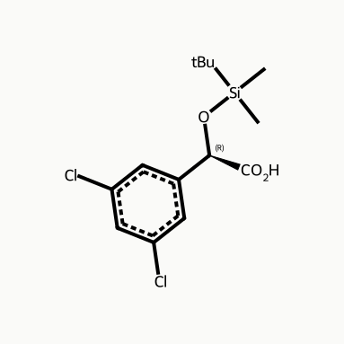 CC(C)(C)[Si](C)(C)O[C@@H](C(=O)O)c1cc(Cl)cc(Cl)c1